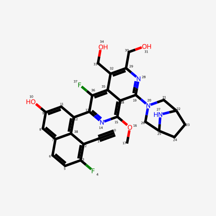 C#Cc1c(F)ccc2cc(O)cc(-c3nc(OC)c4c(N5CC6CCC(C5)N6)nc(CO)c(CO)c4c3F)c12